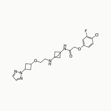 O=C(COc1ccc(Cl)c(F)c1)NC12CC(NCCOC3CC(n4nccn4)C3)(C1)C2